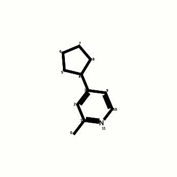 Cc1cc(C2CCCC2)ccn1